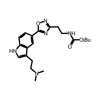 CC(C)COC(=O)NCCc1noc(-c2ccc3[nH]cc(CCN(C)C)c3c2)n1